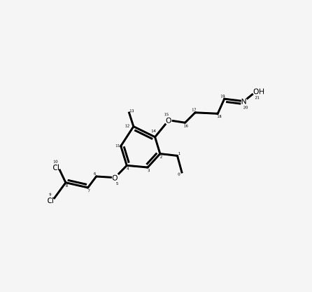 CCc1cc(OCC=C(Cl)Cl)cc(C)c1OCCCC=NO